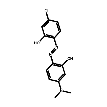 CN(C)c1ccc(N=Nc2ccc(Cl)cc2O)c(O)c1